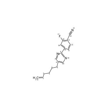 C=CCCCCc1cnc(-c2ccc(C#N)c(F)c2)nc1